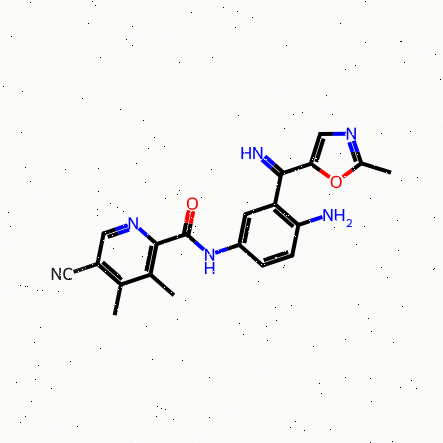 Cc1ncc(C(=N)c2cc(NC(=O)c3ncc(C#N)c(C)c3C)ccc2N)o1